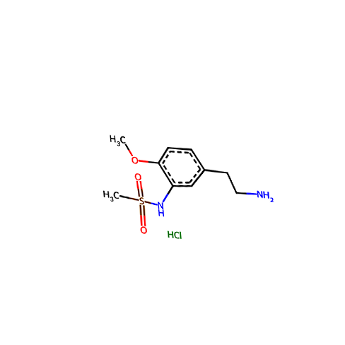 COc1ccc(CCN)cc1NS(C)(=O)=O.Cl